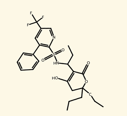 CCCC1(CCC)CC(O)=C(C(CC)NS(=O)(=O)c2ncc(C(F)(F)F)cc2-c2ccccc2)C(=O)O1